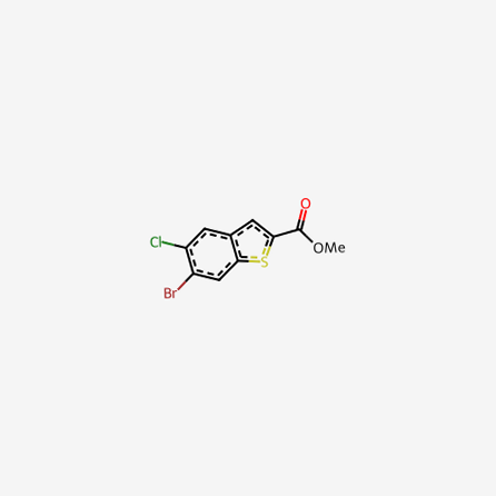 COC(=O)c1cc2cc(Cl)c(Br)cc2s1